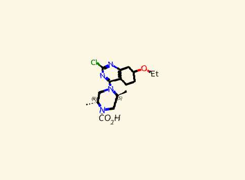 CCOC1CCc2c(nc(Cl)nc2N2C[C@@H](C)N(C(=O)O)C[C@@H]2C)C1